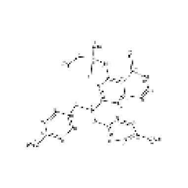 CCCC[C@](C)(CO)Nc1nc(N(Cc2ccc(OC)cc2)Cc2ccc(OC)cc2)nc2cc[nH]c(=O)c12